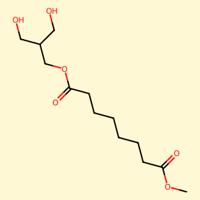 COC(=O)CCCCCCC(=O)OCC(CO)CO